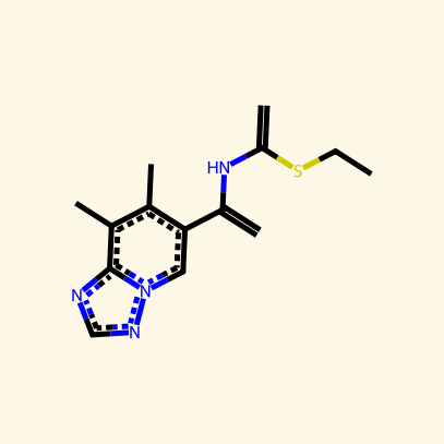 C=C(NC(=C)c1cn2ncnc2c(C)c1C)SCC